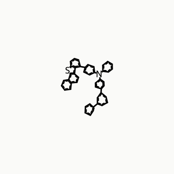 c1ccc(-c2cccc(-c3ccc(N(c4ccccc4)c4ccc(-c5cccc6sc7c8ccccc8ccc7c56)cc4)cc3)c2)cc1